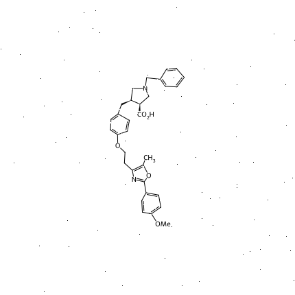 COc1ccc(-c2nc(CCOc3ccc(C[C@H]4CN(Cc5ccccc5)C[C@H]4C(=O)O)cc3)c(C)o2)cc1